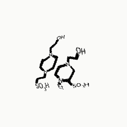 CCN1CCN(CCO)CC1S(=O)(=O)O.O=S(=O)(O)CCN1CCN(CCO)CC1